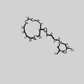 CC1CN(CCCCOC2CCCCCCCCCCC2)CC(C)O1